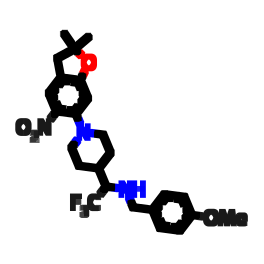 COc1ccc(CNC(C2CCN(c3cc4c(cc3[N+](=O)[O-])CC(C)(C)O4)CC2)C(F)(F)F)cc1